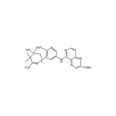 COc1cnc2c(Nc3cnc(F)c([C@]4(C)CS(O)(O)C(C)(C)C(N)=N4)c3)nccc2n1